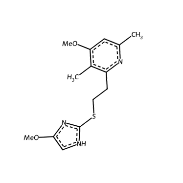 COc1c[nH]c(SCCc2nc(C)cc(OC)c2C)n1